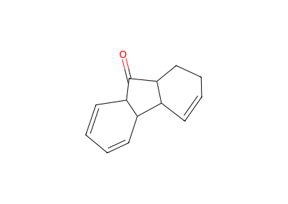 O=C1C2C=CC=CC2C2C=CCCC12